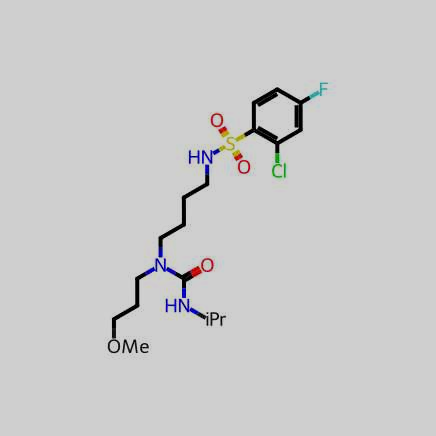 COCCCN(CCCCNS(=O)(=O)c1ccc(F)cc1Cl)C(=O)NC(C)C